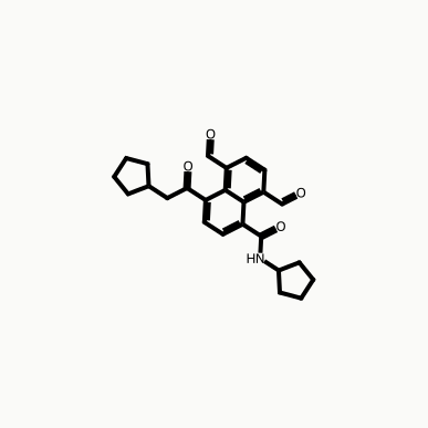 O=Cc1ccc(C=O)c2c(C(=O)NC3CCCC3)ccc(C(=O)CC3CCCC3)c12